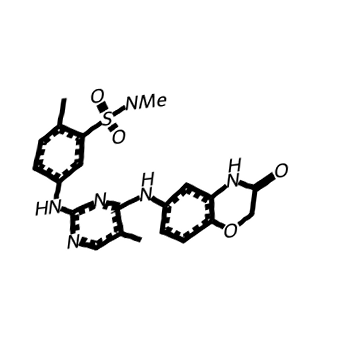 CNS(=O)(=O)c1cc(Nc2ncc(C)c(Nc3ccc4c(c3)NC(=O)CO4)n2)ccc1C